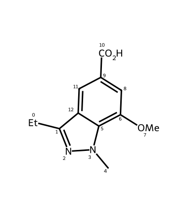 CCc1nn(C)c2c(OC)cc(C(=O)O)cc12